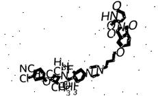 CC1(C)[C@H](NC(=O)c2c(F)cc(N3CCN(CCCCOc4ccc5c(c4)C(=O)N(C4CCC(=O)NC4=O)C5=O)CC3)cc2F)C(C)(C)[C@H]1Oc1ccc(C#N)c(Cl)c1